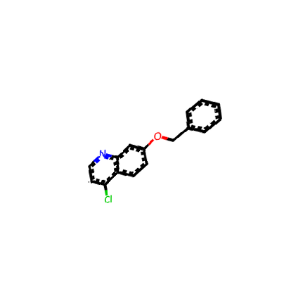 Clc1[c]cnc2cc(OCc3ccccc3)ccc12